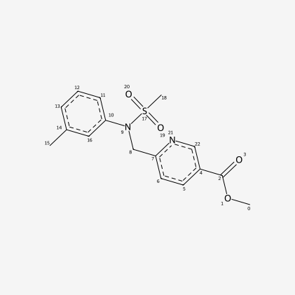 COC(=O)c1ccc(CN(c2cccc(C)c2)S(C)(=O)=O)nc1